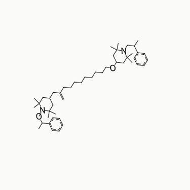 C=C(CCCCCCCCCOC1CC(C)(C)N(CC(C)c2ccccc2)C(C)(C)C1)CC1CC(C)(C)N(OC(C)c2ccccc2)C(C)(C)C1